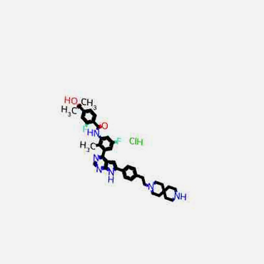 Cc1c(NC(=O)c2ccc(C(C)(C)O)cc2F)cc(F)cc1-c1ncnc2[nH]c(-c3ccc(CCN4CCC5(CCNCC5)CC4)cc3)cc12.Cl